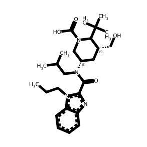 CCCn1c(C(=O)N(CC(C)C)[C@H]2C[C@@H](CO)C(C(C)(C)C)N(C(=O)O)C2)nc2ccccc21